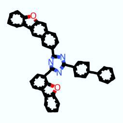 c1ccc(-c2ccc(-c3nc(-c4ccc5cc6oc7ccccc7c6cc5c4)nc(-c4cccc5c4oc4ccccc45)n3)cc2)cc1